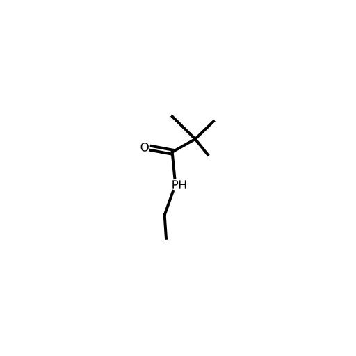 CCPC(=O)C(C)(C)C